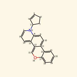 C1=CN(C2C=CCC2)c2ccc3c(c2=C1)=COc1ccccc1-3